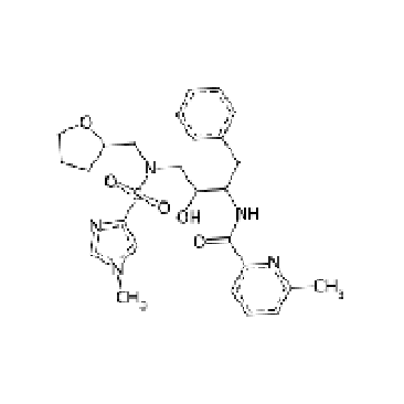 Cc1cccc(C(=O)NC(Cc2ccccc2)C(O)CN(CC2CCCO2)S(=O)(=O)c2cn(C)cn2)n1